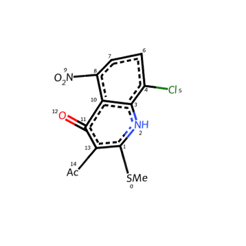 CSc1[nH]c2c(Cl)ccc([N+](=O)[O-])c2c(=O)c1C(C)=O